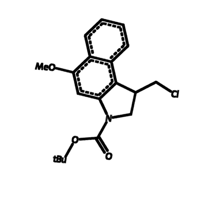 COc1cc2c(c3ccccc13)C(CCl)CN2C(=O)OC(C)(C)C